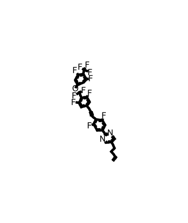 C=CCCc1cnc(-c2cc(F)c(C#Cc3cc(F)c(C(F)(F)Oc4cc(F)c(C(F)(F)F)c(F)c4)c(F)c3)c(F)c2)nc1